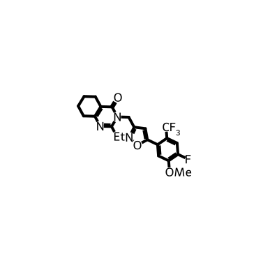 CCc1nc2c(c(=O)n1Cc1cc(-c3cc(OC)c(F)cc3C(F)(F)F)on1)CCCC2